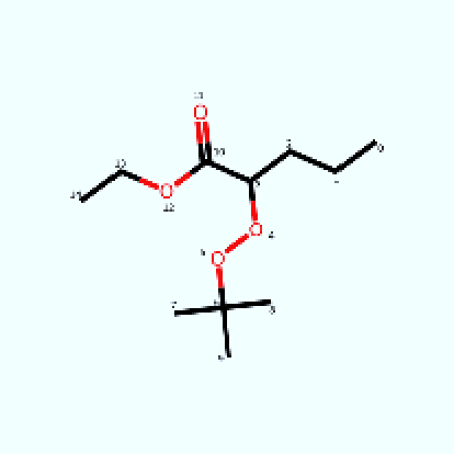 CCCC(OOC(C)(C)C)C(=O)OCC